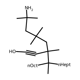 CCCCCCCCC(C)(CCCCCCC)C(C)(C#CO)CC(C)(C)CC(C)(C)N